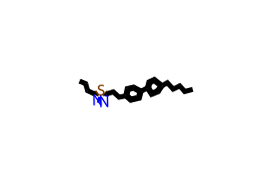 CCCCCc1ccc(-c2ccc(CCc3nnc(CCC)s3)cc2)cc1